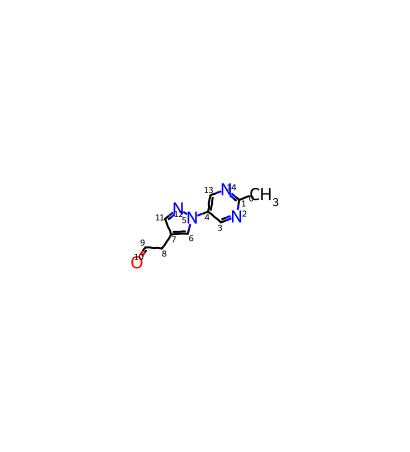 Cc1ncc(-n2cc(CC=O)cn2)cn1